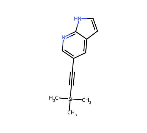 C[Si](C)(C)C#Cc1cnc2[nH]ccc2c1